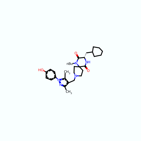 CCCCN1C(=O)[C@H](CC2CCCCC2)NC(=O)C12CCN(Cc1c(C)nn(-c3ccc(O)cc3)c1C)CC2